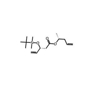 C=CC[C@@H](C)OC(=O)C[C@H](C=C)O[Si](C)(C)C(C)(C)C